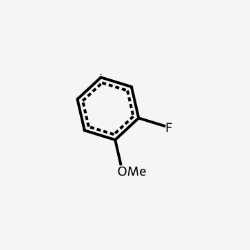 COc1cc[c]cc1F